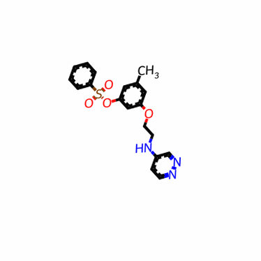 Cc1cc(OCCNc2ccnnc2)cc(OS(=O)(=O)c2ccccc2)c1